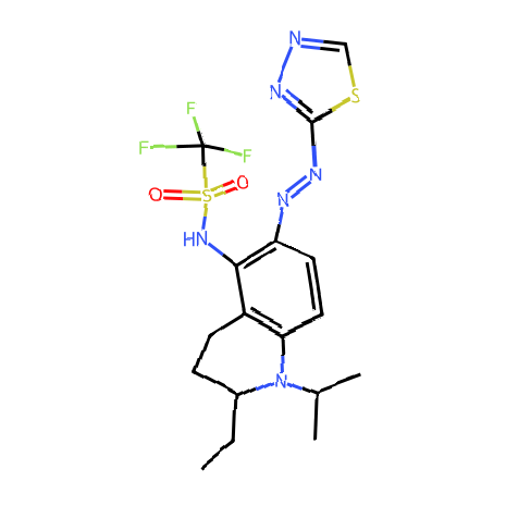 CCC1CCc2c(ccc(N=Nc3nncs3)c2NS(=O)(=O)C(F)(F)F)N1C(C)C